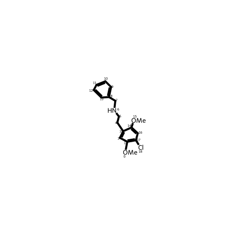 COc1cc(CCNCc2ccccc2)c(OC)cc1Cl